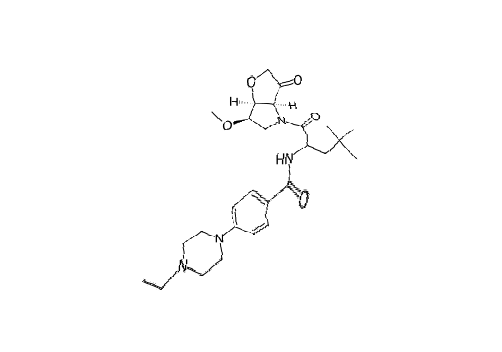 CCN1CCN(c2ccc(C(=O)NC(CC(C)(C)C)C(=O)N3C[C@@H](OC)[C@H]4OCC(=O)[C@H]43)cc2)CC1